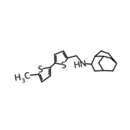 Cc1ccc(-c2ccc(CNC3CC4CC5CCC3C(C5)C4)s2)s1